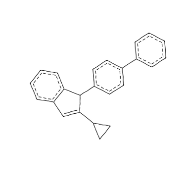 C1=C(C2CC2)C(c2ccc(-c3ccccc3)cc2)c2ccccc21